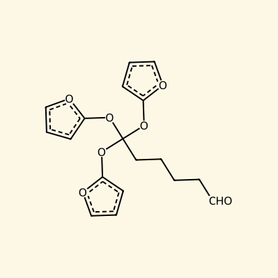 O=CCCCCC(Oc1ccco1)(Oc1ccco1)Oc1ccco1